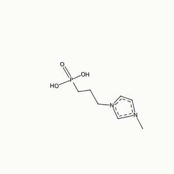 Cn1cc[n+](CCCP(=O)(O)O)c1